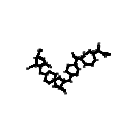 CCc1cc(F)c(CN2CCC3(CC2)CN(CC2CCC(C(=O)N4CCN(C(=O)OC)CCO4)CC2)C(=O)O3)c(F)c1